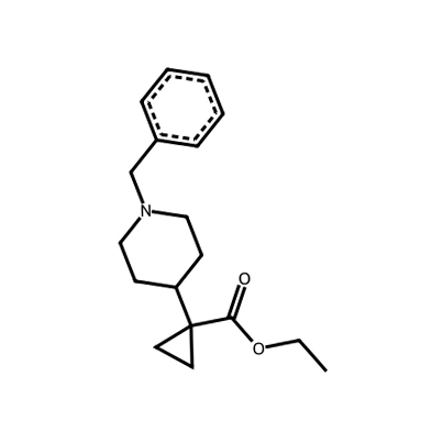 CCOC(=O)C1(C2CCN(Cc3ccccc3)CC2)CC1